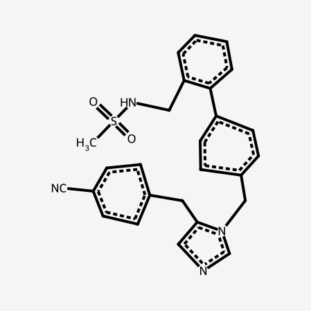 CS(=O)(=O)NCc1ccccc1-c1ccc(Cn2cncc2Cc2ccc(C#N)cc2)cc1